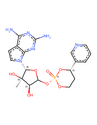 C[C@@]1(O)[C@H](O)C(O[P@@]2(=O)OCC[C@@H](c3cccnc3)O2)O[C@H]1n1ccc2c(N)nc(N)nc21